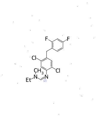 CCN(C)/C=N\c1cc(Cl)c(Cc2ccc(F)cc2F)cc1Cl